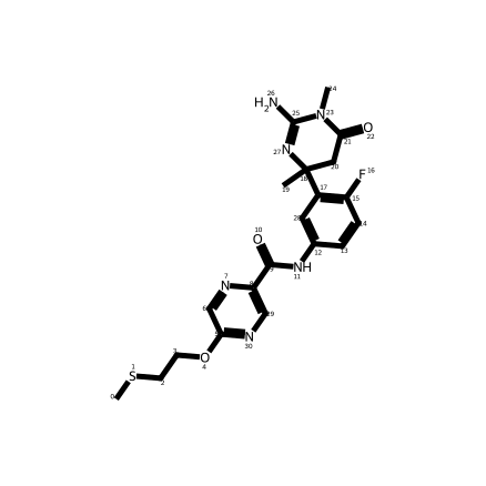 CSCCOc1cnc(C(=O)Nc2ccc(F)c(C3(C)CC(=O)N(C)C(N)=N3)c2)cn1